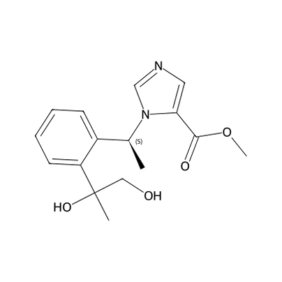 COC(=O)c1cncn1[C@@H](C)c1ccccc1C(C)(O)CO